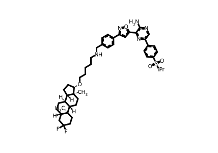 CC(C)S(=O)(=O)c1ccc(-c2cnc(N)c(-c3cc(-c4ccc(CNCCCCCO[C@H]5CC[C@H]6[C@@H]7CC[C@H]8CC(F)(F)CC[C@]8(C)[C@H]7CC[C@]56C)cc4)no3)n2)cc1